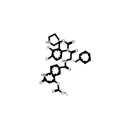 CC(=O)Oc1cc(=O)[nH]c2ccc(C(=O)N[C@@H](Cc3ccccc3)C(=O)N3C(=O)O[C@]4(CCCNC4)c4c3ccc(Cl)c4F)cc12